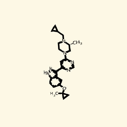 C[C@@H]1CN(c2cc(-c3n[nH]c4ccc(OC5(C)CC5)cc34)ncn2)CCN1CC1CC1